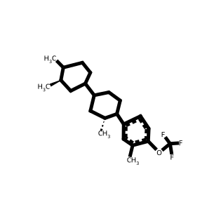 Cc1cc(C2CCC(C3CCC(C)[C@H](C)C3)C[C@H]2C)ccc1OC(F)(F)F